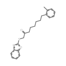 Cc1ccccc1CCCCCCC(=O)CSc1nc2ccccc2o1